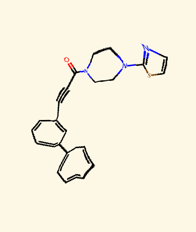 O=C(C#Cc1cccc(-c2ccccc2)c1)N1CCN(c2nccs2)CC1